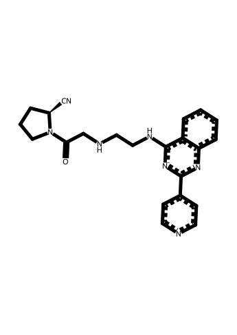 N#C[C@@H]1CCCN1C(=O)CNCCNc1nc(-c2ccncc2)nc2ccccc12